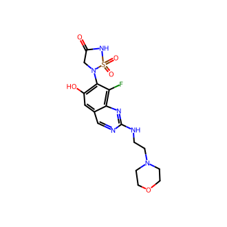 O=C1CN(c2c(O)cc3cnc(NCCN4CCOCC4)nc3c2F)S(=O)(=O)N1